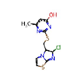 Cc1cc(O)nc(SCC2C(Cl)N=C3SC=CN32)n1